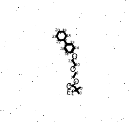 CCC(C)(C)C(=O)OCCOCCOc1ccc(C2CCCCC2)cc1